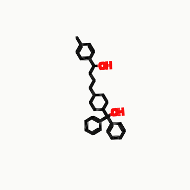 Cc1ccc(C(O)CCCC2CCC(C(O)(c3ccccc3)c3ccccc3)CC2)cc1